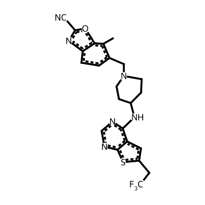 Cc1c(CN2CCC(Nc3ncnc4sc(CC(F)(F)F)cc34)CC2)ccc2nc(C#N)oc12